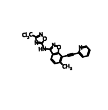 Cc1ccc2c(Nc3nc(C(Cl)(Cl)Cl)no3)noc2c1C#Cc1ccccn1